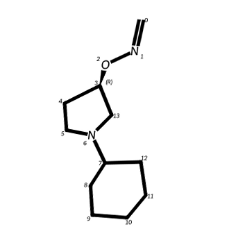 C=NO[C@@H]1CCN(C2CCCCC2)C1